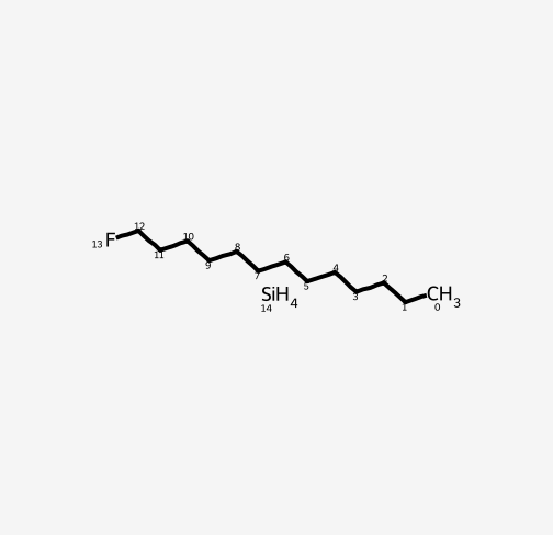 CCCCCCCCCCCCCF.[SiH4]